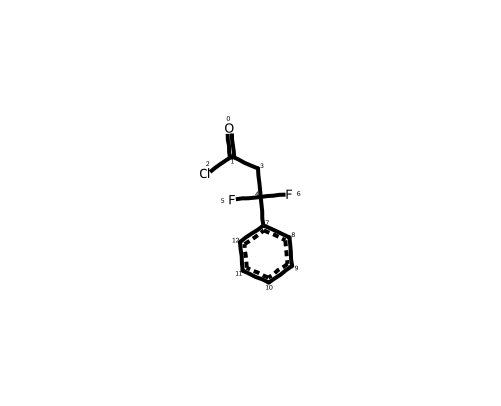 O=C(Cl)CC(F)(F)c1ccccc1